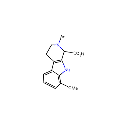 COc1cccc2c3c([nH]c12)C(C(=O)O)N(C(C)=O)CC3